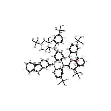 CC(C)(C)c1ccc2c(c1)B1c3cc(C(C)(C)C)ccc3N(c3ccc(C(C)(C)C)cc3-c3ccccc3)c3cc(N4c5ccc(C(C)(C)C)cc5C5(C)CC(C(C)(C)C)CCC45C)cc(c31)N2c1ccc2c(c1)sc1ccccc12